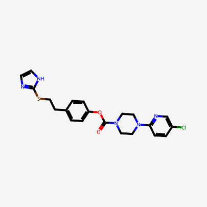 O=C(Oc1ccc(CCSc2ncc[nH]2)cc1)N1CCN(c2ccc(Cl)cn2)CC1